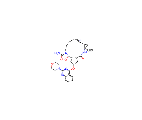 NC(=O)N1CCCC/C=C/C2CC2([C]=O)NC(=O)C2CC(Oc3nc(N4CCOCC4)nc4ccccc34)CC2C1=O